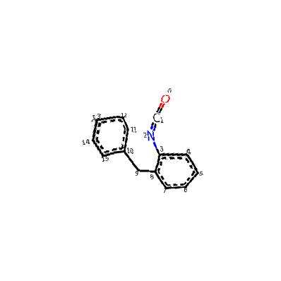 O=C=Nc1ccccc1Cc1cc[c]cc1